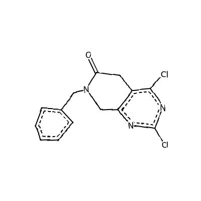 O=C1Cc2c(Cl)nc(Cl)nc2CN1Cc1ccccc1